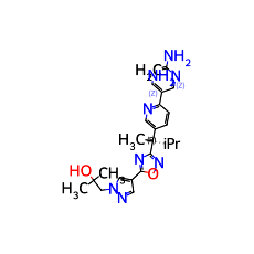 C=C(N)/N=C\C(=C/N)c1ccc([C@](C)(c2noc(-c3cnn(CC(C)(C)O)c3)n2)C(C)C)cn1